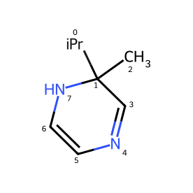 CC(C)C1(C)C=NC=CN1